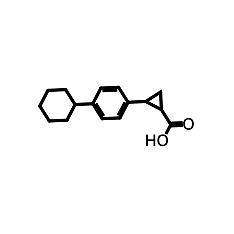 O=C(O)C1CC1c1ccc(C2CCCCC2)cc1